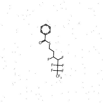 O=C(SCCC(F)C(F)C(F)(F)C(F)(F)C(F)(F)F)c1ccccc1